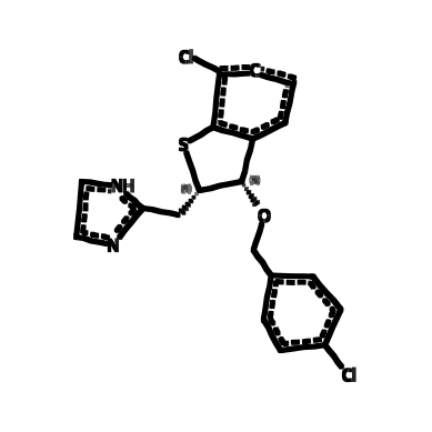 Clc1ccc(CO[C@H]2c3cccc(Cl)c3S[C@H]2Cc2ncc[nH]2)cc1